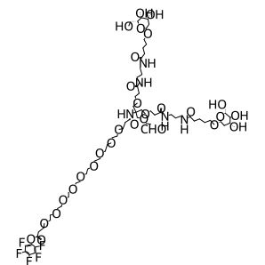 O=CCCOCC(COCCC(=O)NCCCNC(=O)CCCCO[C@H]1C[C@@H](O)[C@@H](O)[C@@H](CO)O1)(COCCC(=O)NCCCNC(=O)CCCCO[C@H]1C[C@@H](O)[C@@H](O)[C@@H](CO)O1)NC(=O)CCOCCOCCOCCOCCOCCOCCOCCOCCOCCC(=O)Oc1c(F)c(F)c(F)c(F)c1F